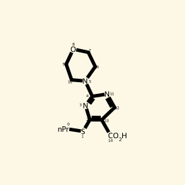 CCCSc1nc(N2CCOCC2)ncc1C(=O)O